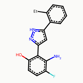 CCc1ccccc1-c1cc(-c2c(O)ccc(F)c2N)n[nH]1